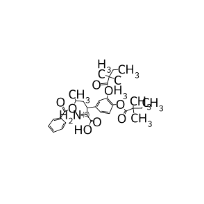 CCC(C)(C)C(=O)Oc1ccc(C(CC(C)OC(=O)c2ccccc2)[C@H](N)C(=O)O)cc1OC(=O)C(C)(C)CC